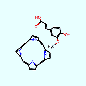 C1=CC2=NC1=CC1=NC(=CC3=NC(=CC4=NC(=C2)C=C4)C=C3)C=C1.COc1cc(C=CC(=O)O)ccc1O